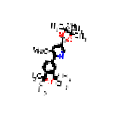 COc1cc(B2OC(C)(C)C(C)(C)O2)cnc1-c1ccc2c(c1)C(C)(C)OC2(C)C